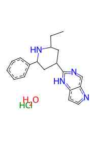 CCC1CC(c2ncc3nccc-3[nH]2)CC(c2ccccc2)N1.Cl.O